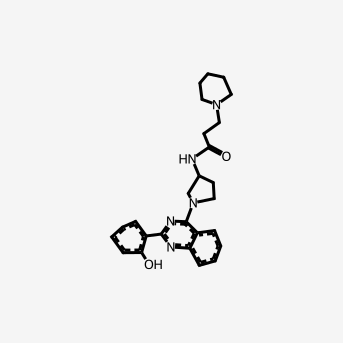 O=C(CCN1CCCCC1)NC1CCN(c2nc(-c3ccccc3O)nc3ccccc23)C1